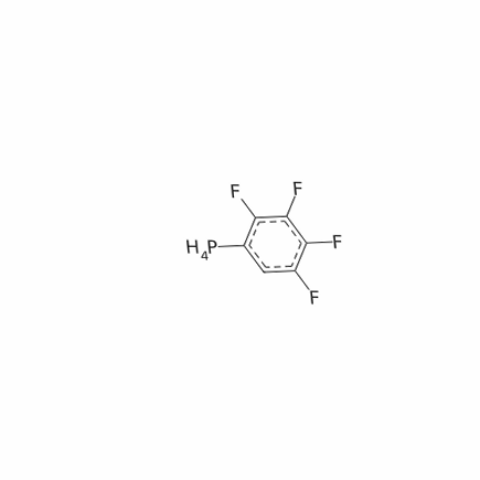 Fc1cc([PH4])c(F)c(F)c1F